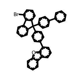 Brc1cccc2c1-c1ccccc1C2(c1ccc(-c2ccccc2)cc1)c1ccc(-c2cccc3c2oc2ccccc23)cc1